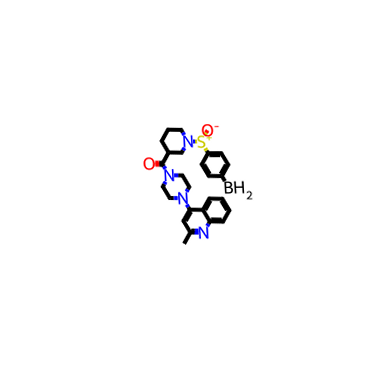 Bc1ccc([S+]([O-])N2CCCC(C(=O)N3CCN(c4cc(C)nc5ccccc45)CC3)C2)cc1